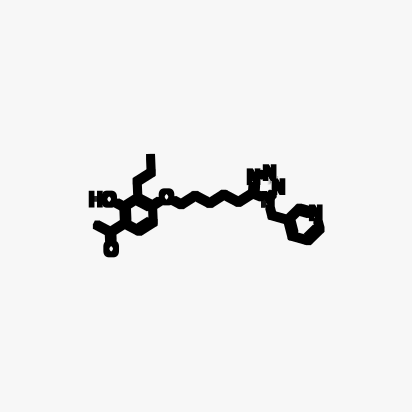 CCCc1c(OCCCCCc2nnnn2Cc2cccnc2)ccc(C(C)=O)c1O